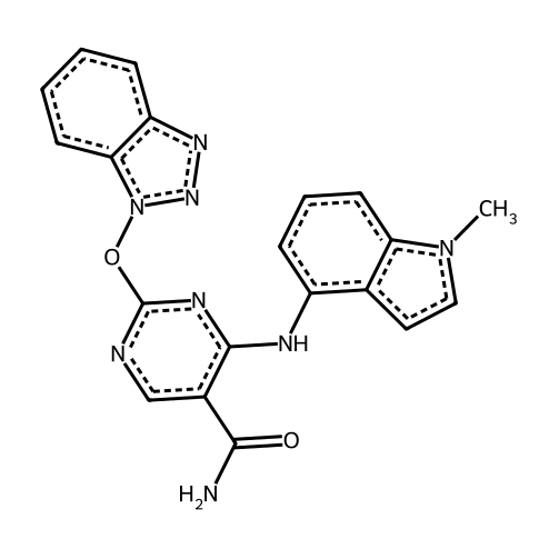 Cn1ccc2c(Nc3nc(On4nnc5ccccc54)ncc3C(N)=O)cccc21